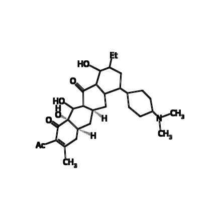 CCC1CC(C2CCC(N(C)C)CC2)C2C[C@H]3C[C@H]4CC(C)=C(C(C)=O)C(=O)[C@@]4(O)C(O)C3C(=O)C2C1O